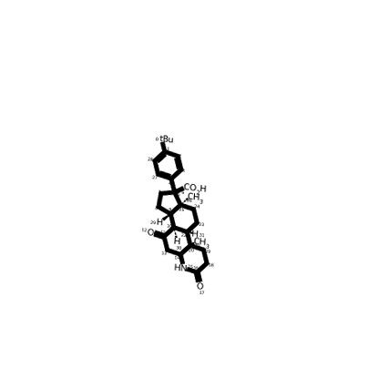 CC(C)(C)c1ccc(C2(C(=O)O)CC[C@H]3[C@@H]4C(=O)CC5NC(=O)CC[C@]5(C)[C@@H]4CC[C@@]32C)cc1